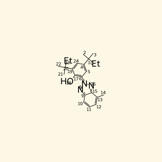 CCC(C)(C)c1cc(-n2nc3cccc(C)c3n2)c(O)c(C(C)(C)CC)c1